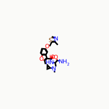 Cc1ncsc1COc1ccc2oc(C)c(C(=O)NC(CN(C)C3CC3)C(N)O)c2c1